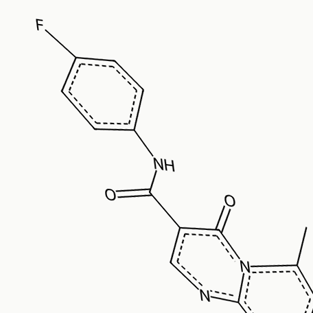 Cc1cccc2ncc(C(=O)Nc3ccc(F)cc3)c(=O)n12